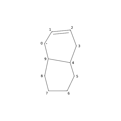 [CH]1C=CCC2CCCCC12